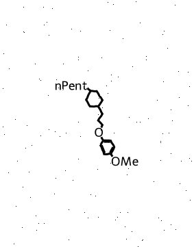 CCCCCC1CCC(CCCOc2ccc(OC)cc2)CC1